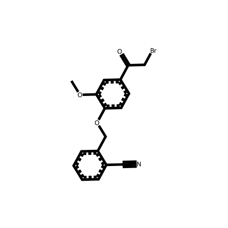 COc1cc(C(=O)CBr)ccc1OCc1ccccc1C#N